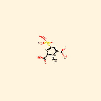 O=C(O)c1cc(S(=O)(=O)O)cc(C(=O)O)[c]1[Na]